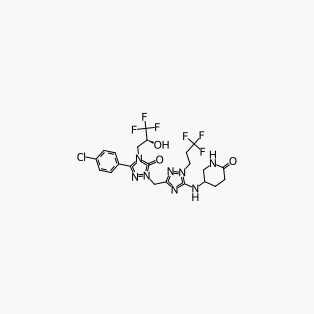 O=C1CCC(Nc2nc(Cn3nc(-c4ccc(Cl)cc4)n(C[C@H](O)C(F)(F)F)c3=O)nn2CCC(F)(F)F)CN1